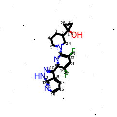 OC1(C2CCCN(c3nc(-c4n[nH]c5ncccc45)c(F)cc3F)C2)CC1